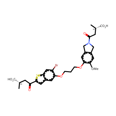 COc1cc2c(cc1OCCCOc1cc3cc(C(=O)C[C@H](C)C(=O)O)sc3cc1Br)CN(C(=O)C[C@H](C)C(=O)O)C2